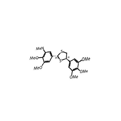 CNc1cc([C@@H]2SC[C@@H](c3cc(OC)c(OC)c(OC)c3)S2)cc(OC)c1OC